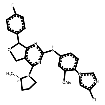 COc1cc(Nc2nc3c(c(N4CCC[C@@H]4C)n2)COC3c2ccc(F)cc2)ccc1-n1cnc(Cl)c1